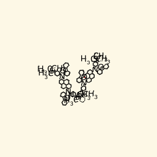 C[Si](C)(C)c1ccc(N(c2ccc3ccc4c(N(c5ccc([Si](C)(C)C6CCCCC6[Si](C)(C)c6ccc(N(c7ccc8ccc9c(N(c%10ccc([Si](C)(C)C)cc%10)c%10cccc%11c%10oc%10ccccc%10%11)ccc%10ccc7c8c%109)c7cccc8c7oc7ccccc78)cc6)cc5)c5cccc6c5oc5ccccc56)ccc5ccc2c3c54)c2cccc3c2oc2ccccc23)cc1